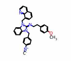 [C-]#[N+]c1ccc(Cn2/c(=N\CCc3ccc(OC)cc3)n(Cc3cccc4cccnc34)c3ccccc32)cc1